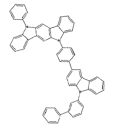 c1ccc(-c2cccc(-n3c4ccccc4c4cc(-c5ccc(-n6c7ccccc7c7cc8c(cc76)c6ccccc6n8-c6ccccc6)cc5)ccc43)c2)cc1